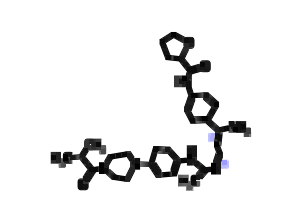 C=C(/N=C\C=C(/N)c1ccc(NC(=O)C2CCCO2)cc1)Nc1ccc(N2CCN(C(=O)C(C)C)CC2)cc1